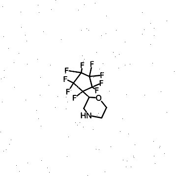 FC1(F)C(F)(F)C(F)(F)C(F)(C2CNCCO2)C1(F)F